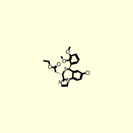 CCOC(=O)C[C@@H]1S[C@@H](c2cccc(OC)c2OC)c2cc(Cl)ccc2-n2ccnc21